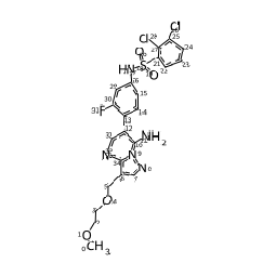 COCCOCc1cnn2c(N)c(-c3ccc(NS(=O)(=O)c4cccc(Cl)c4Cl)cc3F)cnc12